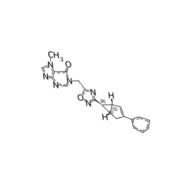 Cn1cnc2ncn(Cc3nc([C@H]4[C@@H]5C=C(c6ccccc6)C[C@@H]54)no3)c(=O)c21